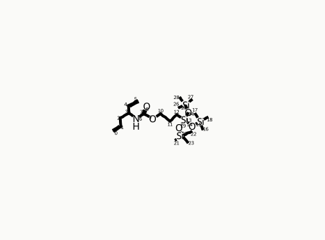 C=CCC(C=C)NC(=O)OCCC[Si](O[Si](C)(C)C)(O[Si](C)(C)C)O[Si](C)(C)C